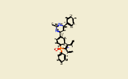 C=C/C=C(\C=C)P(=O)(c1ccccc1)c1ccc(-c2cc(-c3ccccc3)nc(C)n2)cc1